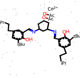 CC(=O)[O-].CC(=O)[O-].CC(C)CCc1cc(C=NC2CCCC(N=Cc3cc(CCC(C)C)cc(C(C)(C)C)c3O)C2)c(O)c(C(C)(C)C)c1.[Co+2]